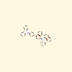 c1ccc(-c2ccccc2N(c2ccc(-c3ccc(-n4c5ccccc5c5ccccc54)cc3)cc2)c2ccccc2-c2ccccc2)cc1